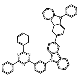 C1=CCCC(c2nc(-c3ccccc3)nc(-c3cccc(-n4c5ccccc5c5cc(C6=CC=C7C(C6)c6ccccc6N7c6ccccc6)ccc54)c3)n2)=C1